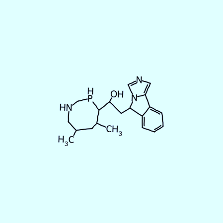 CC1CNCPC(C(O)CC2c3ccccc3-c3cncn32)C(C)C1